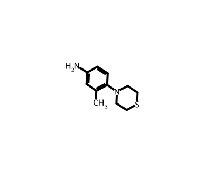 Cc1cc(N)ccc1N1CCSCC1